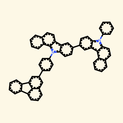 c1ccc(-n2c3ccc(-c4ccc5c(c4)c4ccc6ccccc6c4n5-c4ccc(-c5cc6c7c(cccc7c5)-c5ccccc5-6)cc4)cc3c3c4ccccc4ccc32)cc1